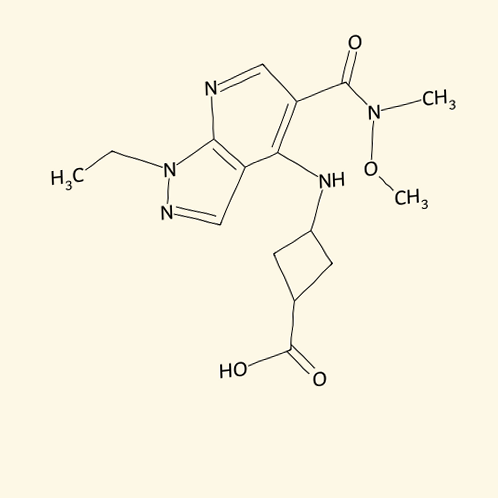 CCn1ncc2c(NC3CC(C(=O)O)C3)c(C(=O)N(C)OC)cnc21